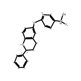 [O-][NH+](O)c1ccc(Oc2ccc3c(c2)CCC(c2ccccc2)O3)nc1